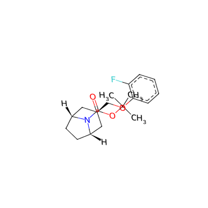 CC(C)(C)OC(=O)N1[C@@H]2CC[C@H]1C[C@H](COc1ccccc1F)C2